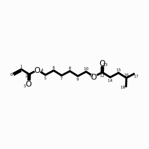 C=CC(=O)OCCCCCCOC(=O)CCC(C)C